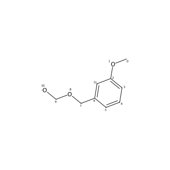 COc1cccc(COC[O])c1